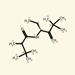 C=C([C@H](CN)NC(=O)C(C)C(C)(C)C)C(C)(C)C